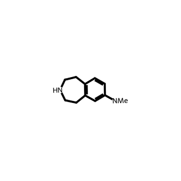 CNc1ccc2c(c1)CCNCC2